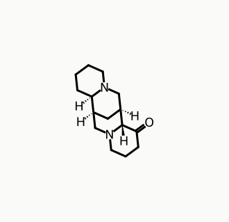 O=C1CCCN2C[C@@H]3C[C@@H](CN4CCCC[C@H]34)[C@H]12